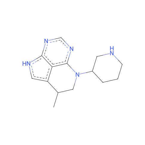 CC1CN(C2CCCNC2)c2ncnc3[nH]cc1c23